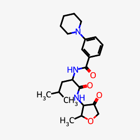 CC(C)CC(NC(=O)c1cccc(N2CCCCC2)c1)C(=O)NC1C(=O)COC1C